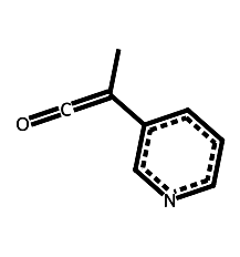 CC(=C=O)c1cccnc1